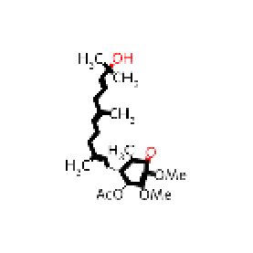 COC1=C(OC)[C@H](OC(C)=O)[C@H](C/C=C(\C)CC/C=C(\C)C/C=C/C(C)(C)O)[C@@H](C)C1=O